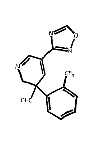 O=CC1(c2ccccc2C(F)(F)F)C=C(c2ncon2)C=NC1